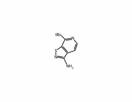 CC(C)(C)c1nccc2c(N)nsc12